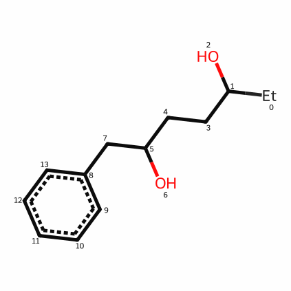 [CH2]CC(O)CCC(O)Cc1ccccc1